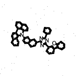 c1ccc(-c2nc(-c3ccc4ccc(N5c6c(ccc7ccccc67)-c6cccc7cccc5c67)cc4c3)nc(-c3cccc4c3oc3ccccc34)n2)cc1